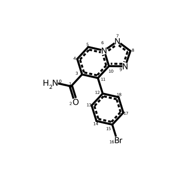 NC(=O)c1ccn2n[c]nc2c1-c1ccc(Br)cc1